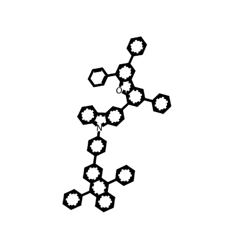 C1=CC(c2cc(-c3ccccc3)cc3c2oc2c(-c4ccc5c(c4)c4ccccc4n5-c4ccc(-c5ccc6c(-c7ccccc7)c7ccccc7c(-c7ccccc7)c6c5)cc4)cc(-c4ccccc4)cc23)=CCC1